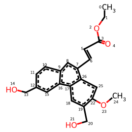 CCOC(=O)/C=C/c1cc2ccc(CO)cc2c2cc(CO)c(OC)cc12